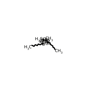 CCCCCCCC(=O)[O][Sn]([CH3])([CH3])[O][Sn]([CH3])([CH3])[O]C(=O)CCCCCCC